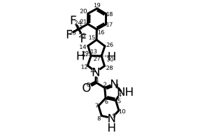 O=C(c1n[nH]c2c1CCNC2)N1C[C@H]2CC(c3ccccc3C(F)(F)F)C[C@H]2C1